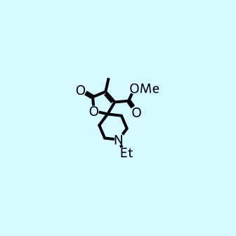 CCN1CCC2(CC1)OC(=O)C(C)=C2C(=O)OC